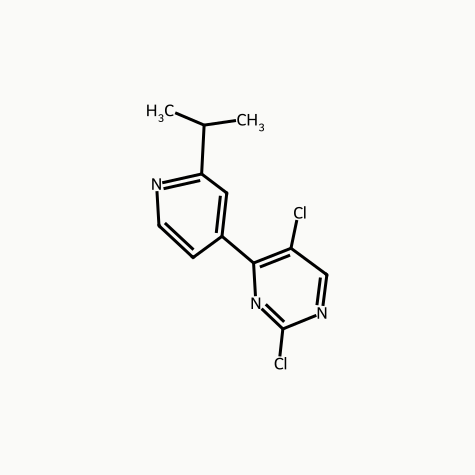 CC(C)c1cc(-c2nc(Cl)ncc2Cl)ccn1